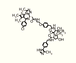 Cc1nc[nH]c1-c1ccc(CNC(=O)[C@@H]2C[C@@H](O)CN2C(=O)[C@@H](NC(=O)Cc2ccc(OCCNC(=O)C[C@@H]3N=C(c4ccc(Cl)cc4)c4c(sc(C)c4C)-n4c(C)nnc43)cc2)C(C)(C)C)cc1